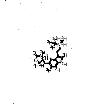 [2H]c1c(C[C@]2([2H])N([2H])C(=O)OC2([2H])[2H])c([2H])c2c(CCN(C([2H])([2H])[2H])C([2H])([2H])[2H])c([2H])n([2H])c2c1[2H]